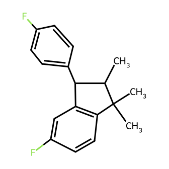 CC1C(c2ccc(F)cc2)c2cc(F)ccc2C1(C)C